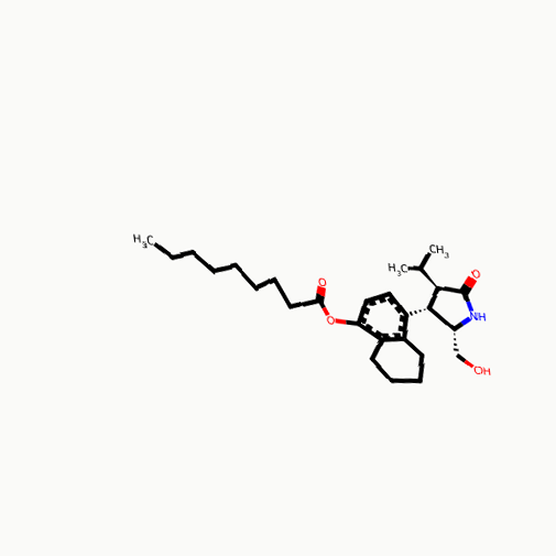 CCCCCCCCC(=O)Oc1ccc([C@@H]2[C@@H](C(C)C)C(=O)N[C@@H]2CO)c2c1CCCC2